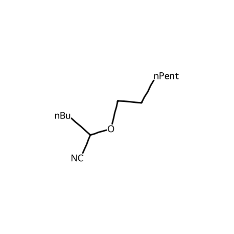 CCCCCCCOC(C#N)CCCC